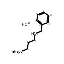 CCCCCCCCCCNCc1ccccc1.Cl